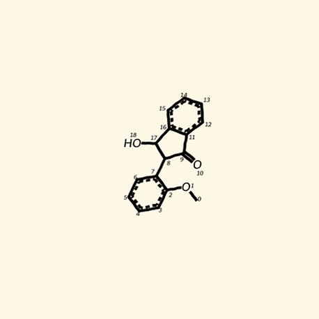 COc1ccccc1C1C(=O)c2ccccc2C1O